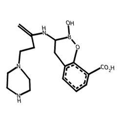 C=C(CCN1CCNCC1)NC1Cc2cccc(C(=O)O)c2OB1O